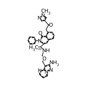 C[C@H](NCOCc1c(N)nn2cccnc12)c1cc2cccc(CC(=O)c3cnn(C)c3)c2c(=O)n1-c1ccccc1